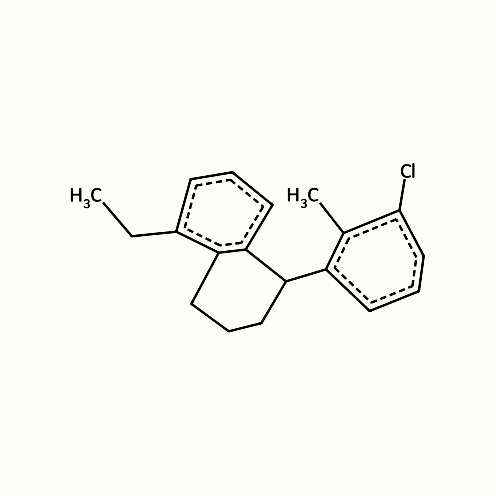 CCc1cccc2c1CCCC2c1cccc(Cl)c1C